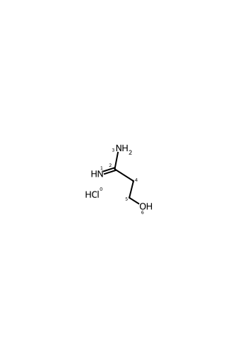 Cl.N=C(N)CCO